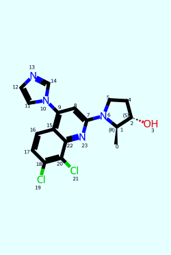 C[C@@H]1[C@@H](O)CCN1c1cc(-n2ccnc2)c2ccc(Cl)c(Cl)c2n1